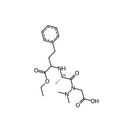 CCOC(=O)C(CCc1ccccc1)N[C@@H](C)C(=O)N(CC(=O)O)N(C)C